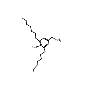 CCCCCCCc1cc(CN)cc(CCCCCCC)c1O